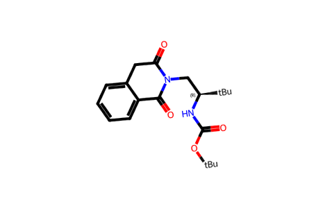 CC(C)(C)OC(=O)N[C@@H](CN1C(=O)Cc2ccccc2C1=O)C(C)(C)C